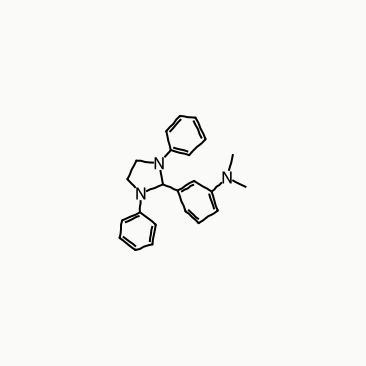 CN(C)c1cccc(C2N(c3ccccc3)CCN2c2ccccc2)c1